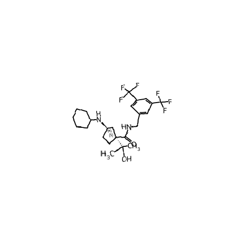 CC(C)(O)[C@]1(C(=O)NCc2cc(C(F)(F)F)cc(C(F)(F)F)c2)CC[C@@H](NC2CCCCC2)C1